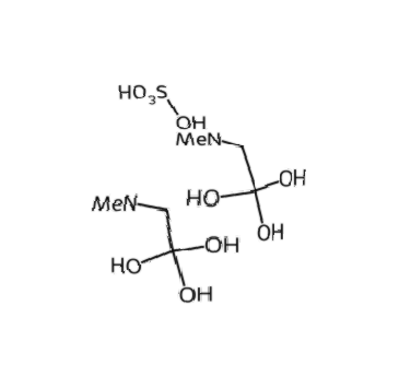 CNCC(O)(O)O.CNCC(O)(O)O.O=S(=O)(O)O